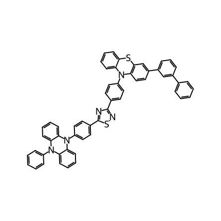 c1ccc(-c2cccc(-c3ccc4c(c3)Sc3ccccc3N4c3ccc(-c4nsc(-c5ccc(N6c7ccccc7N(c7ccccc7)c7ccccc76)cc5)n4)cc3)c2)cc1